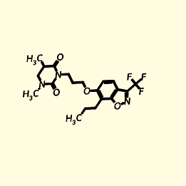 CCCc1c(OCCCN2C(=O)C(C)CN(C)C2=O)ccc2c(C(F)(F)F)noc12